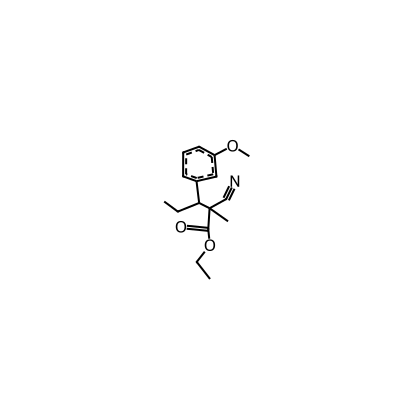 CCOC(=O)C(C)(C#N)C(CC)c1cccc(OC)c1